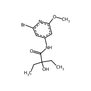 CCC(O)(CC)C(=O)Nc1cc(Br)nc(OC)c1